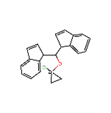 [Cl][Zr]1([O]C(C2C=Cc3ccccc32)C2C=Cc3ccccc32)[CH2][CH2]1